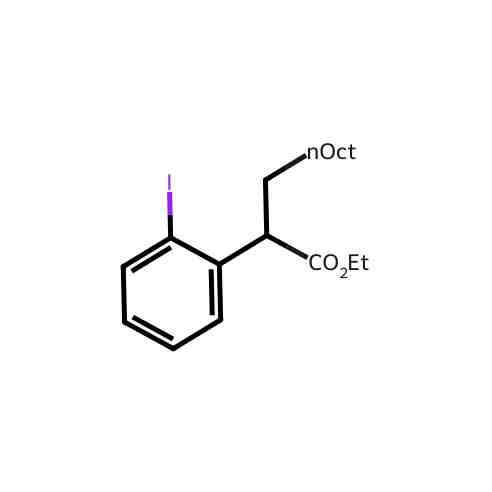 CCCCCCCCCC(C(=O)OCC)c1ccccc1I